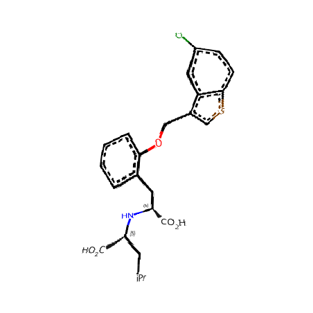 CC(C)C[C@H](N[C@@H](Cc1ccccc1OCc1csc2ccc(Cl)cc12)C(=O)O)C(=O)O